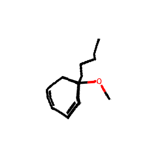 CCCC1(OC)C=CC=CC1